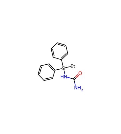 CC[Si](NC(N)=O)(c1ccccc1)c1ccccc1